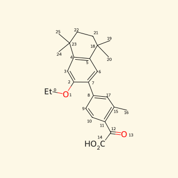 CCOc1cc2c(cc1-c1ccc(C(=O)C(=O)O)c(C)c1)C(C)(C)CCC2(C)C